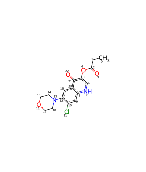 CCC(=O)Oc1c[nH]c2cc(Cl)c(N3CCOCC3)cc2c1=O